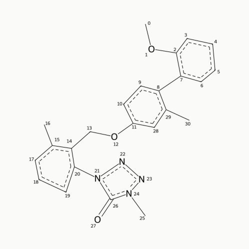 COc1ccccc1-c1ccc(OCc2c(C)cccc2-n2nnn(C)c2=O)cc1C